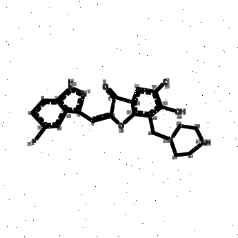 O=C1C(=Cc2n[nH]c3ccc(F)cc23)Oc2c1cc(Cl)c(O)c2CN1CCNCC1